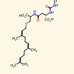 CCNC(=O)N[C@@H](CC(=O)N[C@@H](CSCC=C(C)CCC=C(C)CCC=C(C)C)C(=O)O)C(=O)O